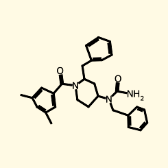 Cc1cc(C)cc(C(=O)N2CCC(N(Cc3ccccc3)C(N)=O)CC2Cc2ccccc2)c1